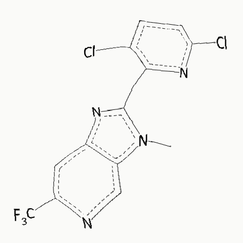 Cn1c(-c2nc(Cl)ccc2Cl)nc2cc(C(F)(F)F)ncc21